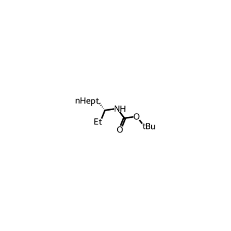 CCCCCCC[C@@H](CC)NC(=O)OC(C)(C)C